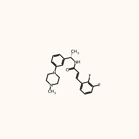 C[C@H](NC(=O)/C=C/c1cccc(F)c1F)c1cccc(N2CCN(C)CC2)c1